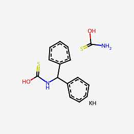 NC(O)=S.OC(=S)NC(c1ccccc1)c1ccccc1.[KH]